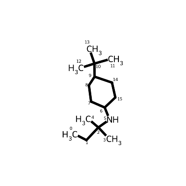 CCC(C)(C)NC1CCC(C(C)(C)C)CC1